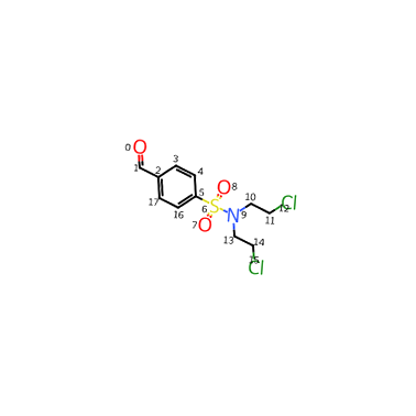 O=Cc1ccc(S(=O)(=O)N(CCCl)CCCl)cc1